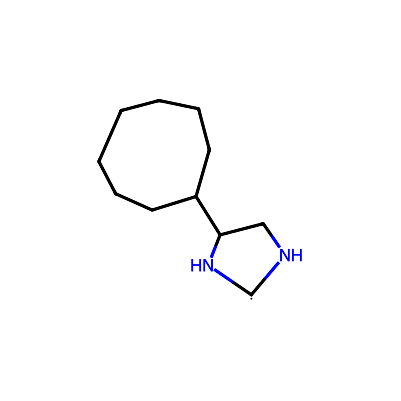 [CH]1NCC(C2CCCCCCC2)N1